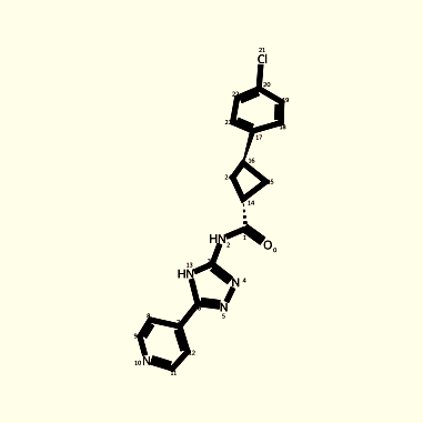 O=C(Nc1nnc(-c2ccncc2)[nH]1)[C@H]1C[C@H](c2ccc(Cl)cc2)C1